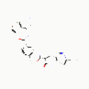 COc1cc2[nH]c(=O)c(C(=O)Nc3cc(C(=O)NC(CN)c4ccsc4)ccc3Cl)cc2cn1